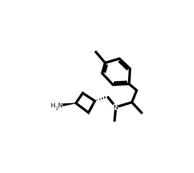 Cc1ccc(CC(C)N(C)C[C@H]2C[C@H](N)C2)cc1